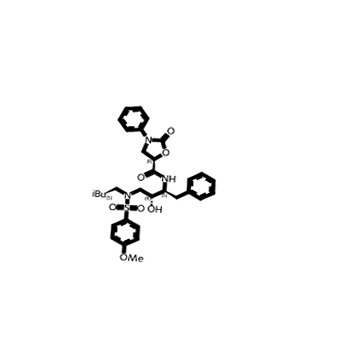 CC[C@H](C)CN(C[C@@H](O)[C@H](Cc1ccccc1)NC(=O)[C@H]1CN(c2ccccc2)C(=O)O1)S(=O)(=O)c1ccc(OC)cc1